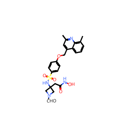 Cc1cc(COc2ccc(S(=O)(=O)NC3(CC(=O)NO)CN(C=O)C3)cc2)c2cccc(C)c2n1